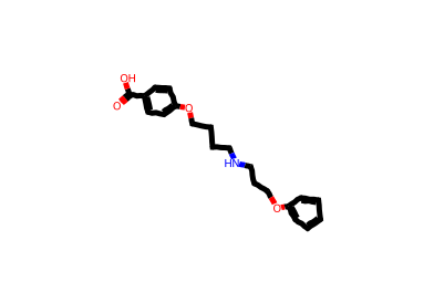 O=C(O)c1ccc(OCCCCNCCCOc2ccccc2)cc1